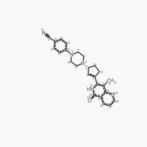 Cc1c(C2=C[C@H](N3CCN(c4ccc(C#N)cc4)CC3)CC2)[nH]c(=O)c2cccnc12